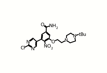 CC(C)(C)N1CCN(CCOc2cc(C(N)=O)cc(-c3cnc(Cl)nc3)c2[N+](=O)[O-])CC1